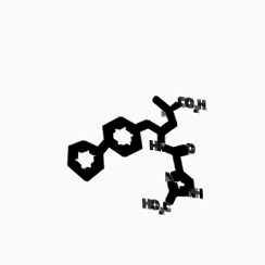 C[C@H](CC(Cc1ccc(-c2ccccc2)cc1)NC(=O)c1c[nH]c(C(=O)O)n1)C(=O)O